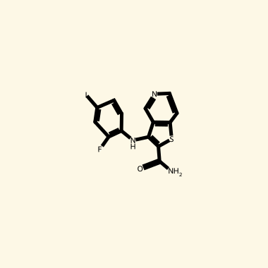 NC(=O)c1sc2ccncc2c1Nc1ccc(I)cc1F